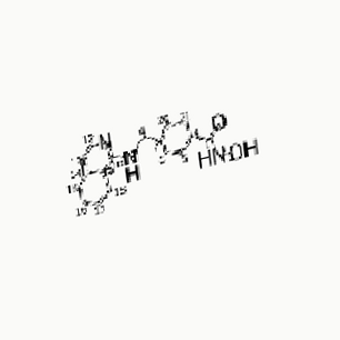 O=C(NO)c1ccc(CNc2nccc3ccccc23)cc1